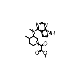 COC(=O)C(=O)N1CCC(C)C(N(C)c2ncnc3[nH]ccc23)C1